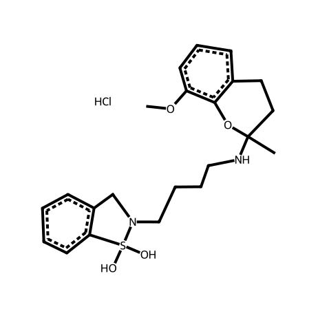 COc1cccc2c1OC(C)(NCCCCN1Cc3ccccc3S1(O)O)CC2.Cl